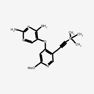 COc1cc(Oc2cnc(N)nc2N)c(C#C[Si](C)(C)C)cn1